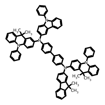 CC1(C)c2ccccc2-c2ccc(N(c3ccc(-c4ccc(N(c5ccc6c(c5)C(C)(C)c5ccccc5N6c5ccccc5)c5ccc6c(c5)c5ccccc5n6-c5ccccc5)cc4)cc3)c3ccc4c(c3)C(C)(C)c3ccccc3N4c3ccccc3)cc21